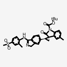 Cc1ccc2c(c1)[C@]1(C[C@H]1c1ccc3c(c1)CN=C3Nc1ccc(S(C)(=O)=O)cc1C)C(=O)N2C(=O)OC(C)(C)C